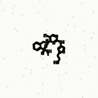 CNS(=O)(=O)c1ccccc1CNc1nc(Nc2cnn(CCO)c2)ncc1Cl